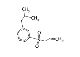 C=CCS(=O)(=O)c1cccc(CC(C)C)c1